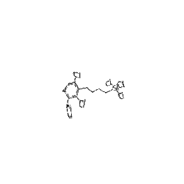 Clc1ccc(Cl)c(CCCC[Si](Cl)(Cl)Cl)c1Cl